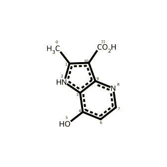 Cc1[nH]c2c(O)ccnc2c1C(=O)O